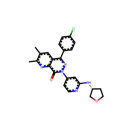 Cc1cc2c(-c3ccc(Cl)cc3)nn(-c3ccnc(N[C@@H]4CCOC4)c3)c(=O)c2nc1C